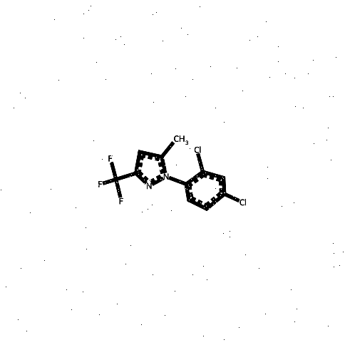 Cc1cc(C(F)(F)F)nn1-c1ccc(Cl)cc1Cl